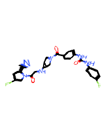 N#CC1CC(F)CN1C(=O)CNC1C2CN(C(=O)c3ccc(NC(=O)Nc4ccc(F)cc4)cc3)CC21